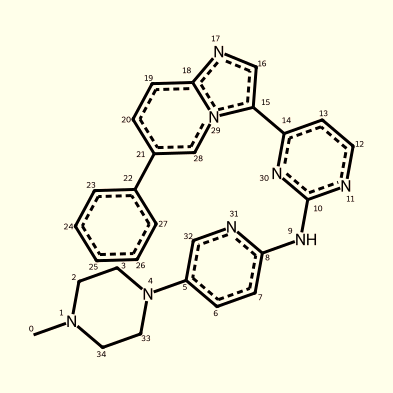 CN1CCN(c2ccc(Nc3nccc(-c4cnc5ccc(-c6ccccc6)cn45)n3)nc2)CC1